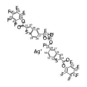 O=C(Oc1c(F)c(F)c(F)c(F)c1F)c1cc2cc(C(F)O[PH](=O)OC(F)c3ccc4sc(C(=O)Oc5c(F)c(F)c(F)c(F)c5F)cc4c3)ccc2s1.[Ag+]